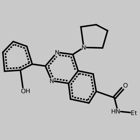 CCNC(=O)c1ccc2nc(-c3ccccc3O)nc(N3CCCC3)c2c1